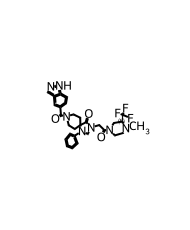 CN1CCN(C(=O)CN2CN(c3ccccc3)C3(CCN(C(=O)c4ccc5[nH]ncc5c4)CC3)C2=O)C[C@H]1C(F)(F)F